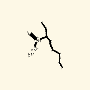 CCCCCC(CC)[PH](=O)[O-].[Na+]